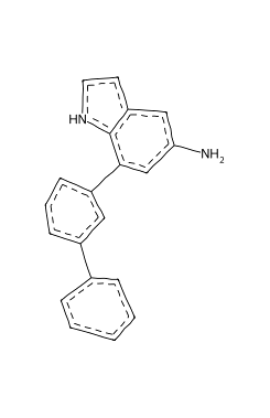 Nc1cc(-c2cccc(-c3ccccc3)c2)c2[nH]ccc2c1